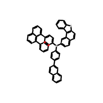 c1ccc(-c2cccc3cccc(-c4ccc(N(c5ccc(-c6ccc7ccccc7c6)cc5)c5ccc6ccc7sc8ccccc8c7c6c5)cc4)c23)cc1